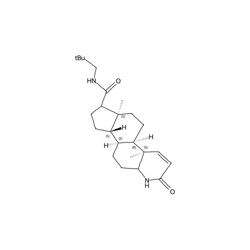 CC(C)(C)CNC(=O)C1CC[C@H]2[C@@H]3CCC4NC(=O)C=C[C@]4(C)[C@@H]3CC[C@]12C